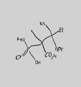 CCCC(CC)(CC)C(C)(C(=O)O)P(=O)(O)O